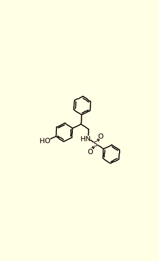 O=S(=O)(NCC(c1ccccc1)c1ccc(O)cc1)c1ccccc1